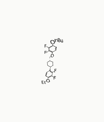 CCCCOc1ccc(OC[C@H]2CC[C@H](c3ccc(OCC)c(F)c3F)CC2)c(F)c1F